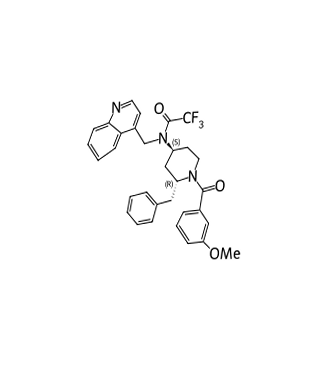 COc1cccc(C(=O)N2CC[C@H](N(Cc3ccnc4ccccc34)C(=O)C(F)(F)F)C[C@H]2Cc2ccccc2)c1